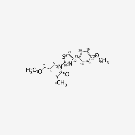 CCC(=O)N(CCCOC)c1nc(-c2ccc(OC)cc2)cs1